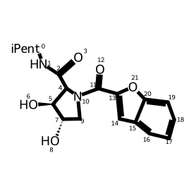 CCCC(C)NC(=O)C1[C@H](O)[C@@H](O)CN1C(=O)c1cc2ccccc2o1